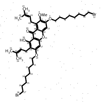 COc1c(OCCCCCCCCBr)cc2oc3cc(OCCCCCCCCBr)c(CC=C(C)C)c(O)c3c(=O)c2c1CC=C(C)C